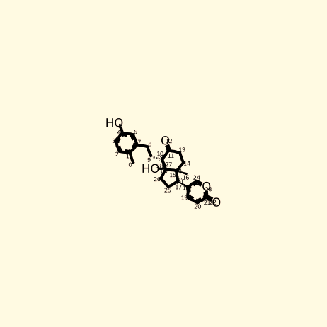 Cc1ccc(O)cc1CC[C@@H]1C(=O)CC[C@]2(C)[C@@H](c3ccc(=O)oc3)CC[C@]12O